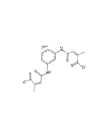 C/C(=C/C(=O)Nc1cccc(NC(=O)/C=C(/C)C(=O)[O-])c1)C(=O)[O-].[Zn+2]